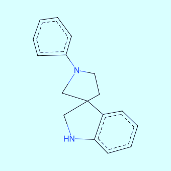 c1ccc(N2CCC3(CNc4ccccc43)C2)cc1